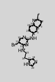 Cc1ccc2cc(Nc3ncc(Br)c(NCCc4cnc[nH]4)n3)ccc2n1